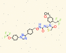 COc1ccc(CC(F)(F)F)c(N2C(=O)CS/C2=N\C(=O)NOCc2ccc(-c3ncn(-c4ccc(OC(F)(F)F)cc4)n3)cc2)c1